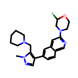 Cn1ncc(-c2ccc3cnc(N4CCOC(F)C4)cc3c2)c1CN1CCCCC1